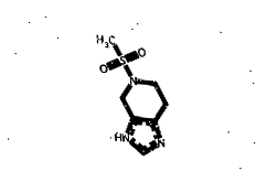 CS(=O)(=O)N1CCc2nc[nH]c2C1